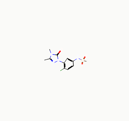 CCS(=O)(=O)Nc1ccc(F)c(-n2nc(C(F)(F)F)n(C)c2=O)c1